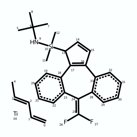 C=CC=CC.CC(C)(C)N[Si](C)(C)C1C=CC2=C1c1ccccc1C(=C(F)F)c1ccccc12.[Ti]